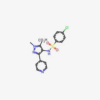 Cn1nc(-c2ccncc2)c(NS(=O)(=O)c2ccc(Cl)cc2)c1C(=O)O